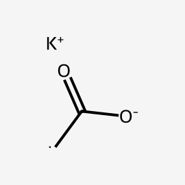 [CH2]C(=O)[O-].[K+]